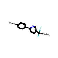 CCCCCCCCCCc1ccc(-c2ccc(C(F)(F)CCCCCCCCCC)cn2)cc1